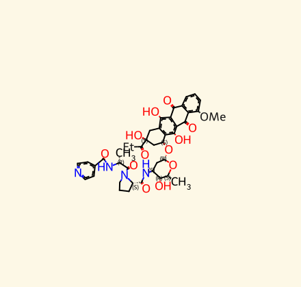 CCC(=O)[C@]1(O)Cc2c(O)c3c(c(O)c2[C@@H](O[C@H]2C[C@H](NC(=O)[C@@H]4CCCN4C(=O)[C@@H](C)NC(=O)c4ccncc4)[C@@H](O)[C@H](C)O2)C1)C(=O)c1c(OC)cccc1C3=O